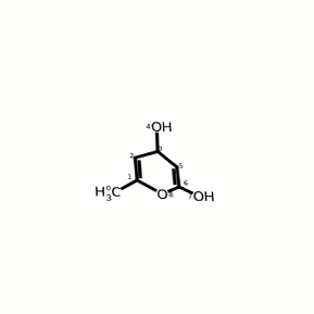 CC1=CC(O)C=C(O)O1